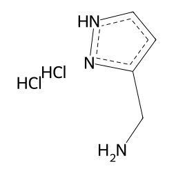 Cl.Cl.NCc1cc[nH]n1